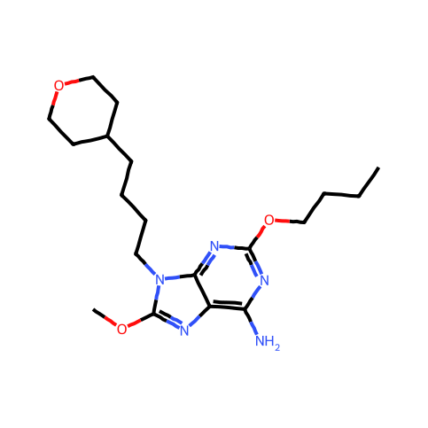 CCCCOc1nc(N)c2nc(OC)n(CCCCC3CCOCC3)c2n1